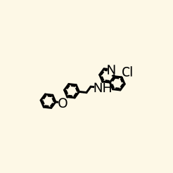 Clc1cccc2c(NCCc3cccc(Oc4ccccc4)c3)ccnc12